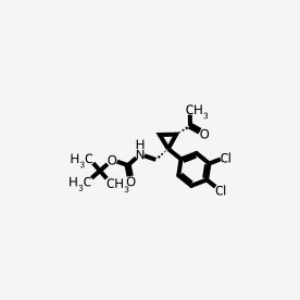 CC(=O)[C@H]1C[C@]1(CNC(=O)OC(C)(C)C)c1ccc(Cl)c(Cl)c1